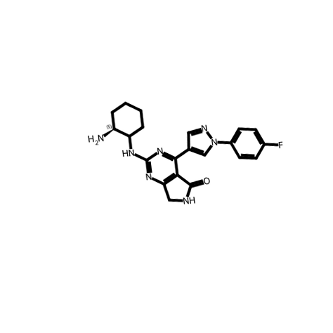 N[C@H]1CCCCC1Nc1nc2c(c(-c3cnn(-c4ccc(F)cc4)c3)n1)C(=O)NC2